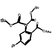 COC(=O)c1ccc(Br)cc1N(C(=O)OC(C)(C)C)C(=O)OC(C)(C)C